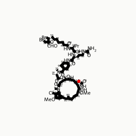 COc1cc2cc(c1Cl)N(C)C(=O)C[C@H](OC(=O)[C@H](C)N(C)C(=O)c1ccc(NC(=O)[C@H](CCCNC(N)=O)NC(=O)[C@@H](NC(=O)CCCCC(C)OC(C=O)(CBr)CBr)C(C)C)cc1)[C@]1(C)O[C@H]1C[C@@H]1C[C@@](O)(NC(=O)O1)[C@H](OC)/C=C/C=C(\C)C2